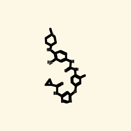 Cc1cc(Oc2cc(NC(=O)C3CC3)ncn2)ccc1NC(=O)Nc1ccc(NC2CCN(C)CC2)c(C(F)(F)F)c1